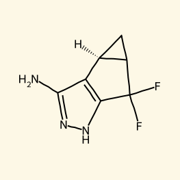 Nc1n[nH]c2c1[C@H]1CC1C2(F)F